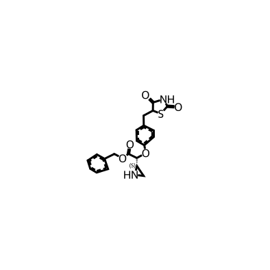 O=C1NC(=O)C(Cc2ccc(OC(C(=O)OCc3ccccc3)[C@@H]3CN3)cc2)S1